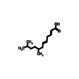 CC(C)CCC(C)C/C=C/C/C=C/C(=O)O